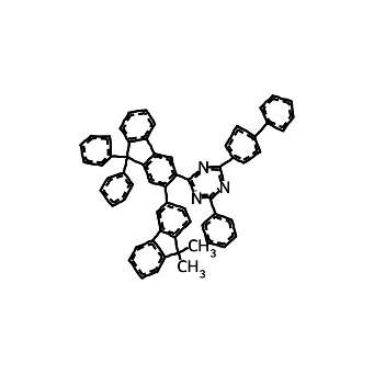 CC1(C)c2ccccc2-c2cc(-c3cc4c(cc3-c3nc(-c5ccccc5)nc(-c5ccc(-c6ccccc6)cc5)n3)-c3ccccc3C4(c3ccccc3)c3ccccc3)ccc21